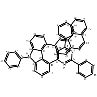 c1ccc(-c2nc(-c3ccccc3)nc(-c3cccc4c3c3c(-c5ccc6ccc7ccccc7c6c5)cccc3n4-c3ccccc3)n2)cc1